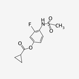 CS(=O)(=O)Nc1ccc(OC(=O)C2CC2)cc1F